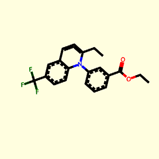 CCOC(=O)c1cccc(N2C(CC)=C=Cc3cc(C(F)(F)F)ccc32)c1